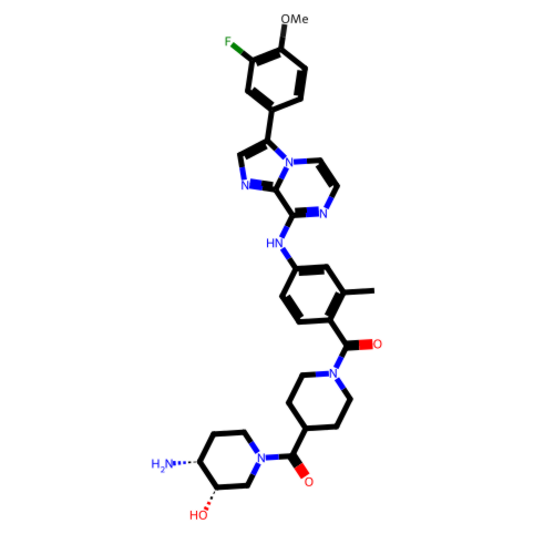 COc1ccc(-c2cnc3c(Nc4ccc(C(=O)N5CCC(C(=O)N6CC[C@@H](N)[C@@H](O)C6)CC5)c(C)c4)nccn23)cc1F